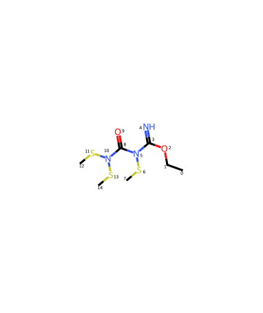 CCOC(=N)N(SC)C(=O)N(SC)SC